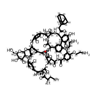 CC[C@H](CC(C)C)C(=O)N[C@H]1C(=O)C[C@@H](CC(=O)NC(=O)c2ccc(OCCN)c(OCCN)c2)C(=O)N[C@H]2C(=O)C[C@H]3C(=O)N[C@H](C(=O)N[C@H](C(=O)CC4C5CC6CC(C5)CC4C6)c4cc(O)cc(O)c4-c4cc3ccc4O)[C@H](O)c3ccc(c(Cl)c3)Oc3cc2cc(c3O[C@@H]2O[C@H](CO)[C@@H](O)[C@H](O)[C@H]2O)Oc2ccc(cc2Cl)[C@H]1O